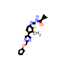 Cc1c(-c2cnc(COC3CCCC3)nc2)ccc2nc(NC(=O)C3CC3)sc12